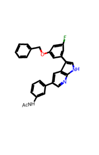 CC(=O)Nc1cccc(-c2cnc3[nH]cc(-c4cc(F)cc(OCc5ccccc5)c4)c3c2)c1